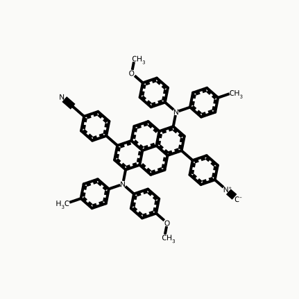 [C-]#[N+]c1ccc(-c2cc(N(c3ccc(C)cc3)c3ccc(OC)cc3)c3ccc4c(-c5ccc(C#N)cc5)cc(N(c5ccc(C)cc5)c5ccc(OC)cc5)c5ccc2c3c45)cc1